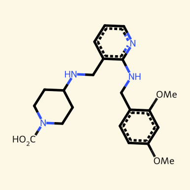 COc1ccc(CNc2ncccc2CNC2CCN(C(=O)O)CC2)c(OC)c1